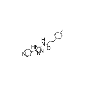 Cc1ccc(CCC(=O)Nc2nnc(-c3ccncc3)[nH]2)cc1